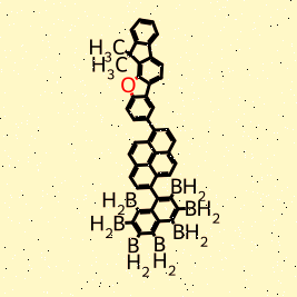 Bc1c(B)c(B)c2c(-c3ccc4ccc5c(-c6ccc7oc8c9c(ccc8c7c6)-c6ccccc6C9(C)C)ccc6ccc3c4c65)c(B)c(B)c(B)c2c1B